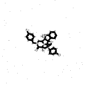 O=C1[C@@H]2CC3OC45c6ccccc6N[C@@H]4C(CN1Cc1ccc(F)cc1)N2C35Nc1ccc(Cl)cc1